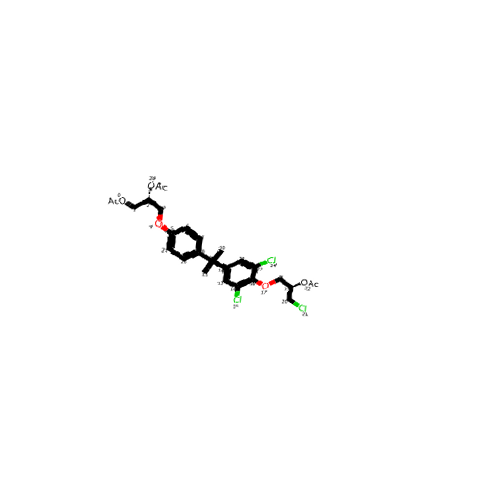 CC(=O)OC[C@@H](COc1ccc(C(C)(C)c2cc(Cl)c(OC[C@H](CCl)OC(C)=O)c(Cl)c2)cc1)OC(C)=O